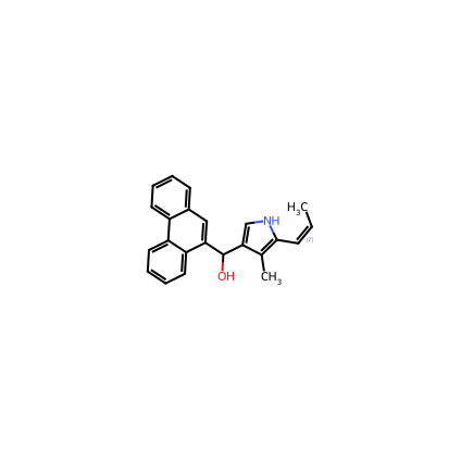 C/C=C\c1[nH]cc(C(O)c2cc3ccccc3c3ccccc23)c1C